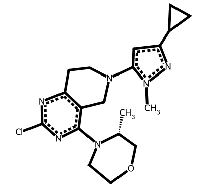 C[C@@H]1COCCN1c1nc(Cl)nc2c1CN(c1cc(C3CC3)nn1C)CC2